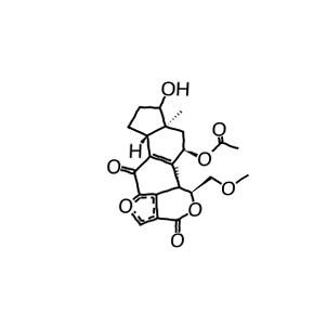 COC[C@H]1OC(=O)c2coc3c2[C@@]1(C)C1=C(C3=O)[C@@H]2CCC(O)[C@@]2(C)C[C@H]1OC(C)=O